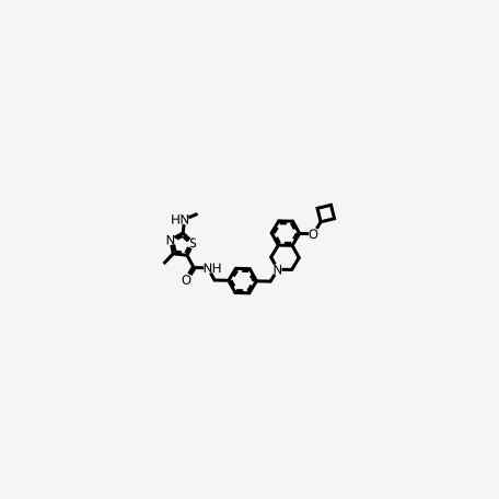 CNc1nc(C)c(C(=O)NCc2ccc(CN3CCc4c(cccc4OC4CCC4)C3)cc2)s1